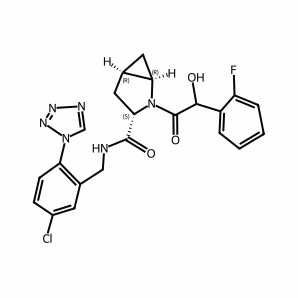 O=C(NCc1cc(Cl)ccc1-n1cnnn1)[C@@H]1C[C@H]2C[C@H]2N1C(=O)C(O)c1ccccc1F